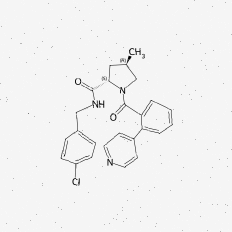 C[C@@H]1C[C@@H](C(=O)NCc2ccc(Cl)cc2)N(C(=O)c2ccccc2-c2ccncc2)C1